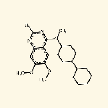 COc1cc2nc(Cl)nc(N(C)C3CCN(C4CCCCC4)CC3)c2cc1OC